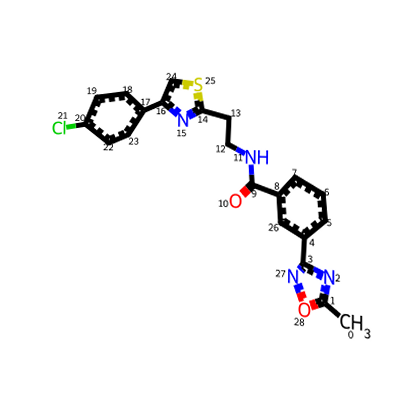 Cc1nc(-c2cccc(C(=O)NCCc3nc(-c4ccc(Cl)cc4)cs3)c2)no1